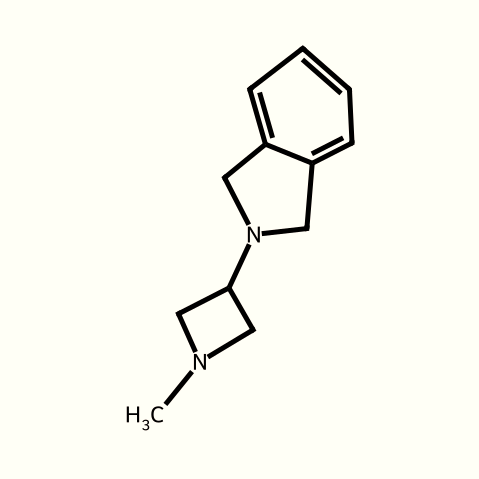 CN1CC(N2Cc3ccccc3C2)C1